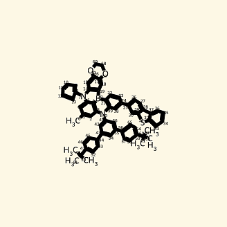 Cc1cc2c3c(c1)N(c1ccccc1)c1cc4c(cc1B3c1ccc(-c3ccc5c(c3)sc3ccccc35)cc1N2c1cc(-c2ccc(C(C)(C)C)cc2)cc(-c2ccc(C(C)(C)C)cc2)c1)OCCO4